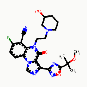 COC(C)(C)c1nc(-c2ncn3c2c(=O)n(CCN2CCCC(O)C2)c2c(C#N)c(F)ccc23)no1